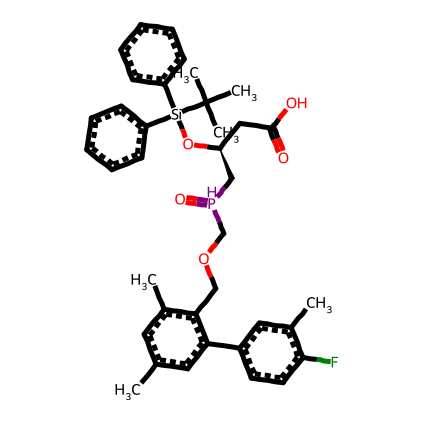 Cc1cc(C)c(COC[PH](=O)C[C@H](CC(=O)O)O[Si](c2ccccc2)(c2ccccc2)C(C)(C)C)c(-c2ccc(F)c(C)c2)c1